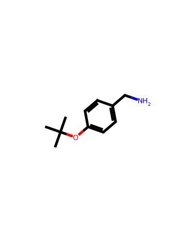 CC(C)(C)Oc1c[c]c(CN)cc1